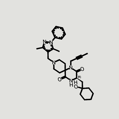 CC#CCN1C(=O)[C@@H](CC2(O)CCCCC2)NC(=O)C12CCN(Cc1c(C)nn(-c3ccccc3)c1C)CC2